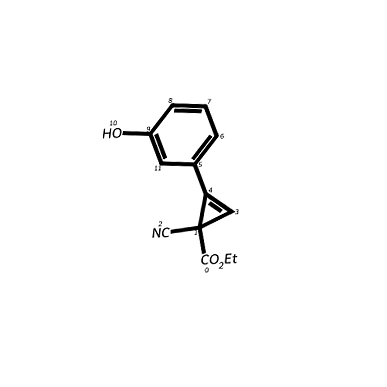 CCOC(=O)C1(C#N)C=C1c1cccc(O)c1